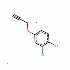 C#CCOc1c[c]c(Cl)c(Cl)c1